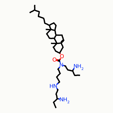 CCC(N)CCNCCCCN(CCC(N)CC)C(=O)OC1CCC2(C)C(=CCC3C2CCC2(C)C(CCCCC(C)C)CCC32)C1